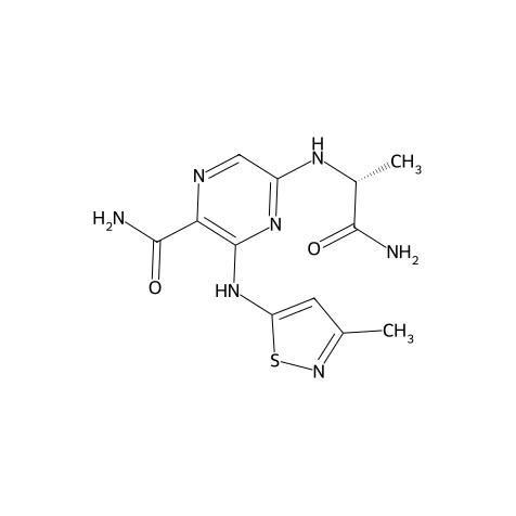 Cc1cc(Nc2nc(N[C@H](C)C(N)=O)cnc2C(N)=O)sn1